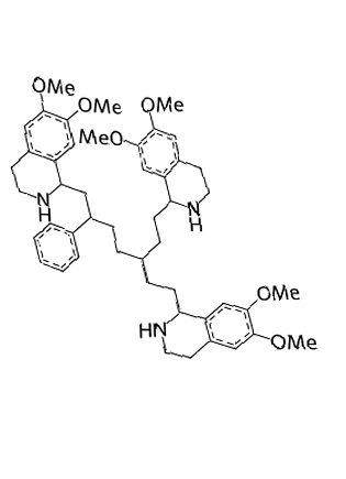 COc1cc2c(cc1OC)C(CCC(CCC(CC1NCCc3cc(OC)c(OC)cc31)c1ccccc1)CCC1NCCc3cc(OC)c(OC)cc31)NCC2